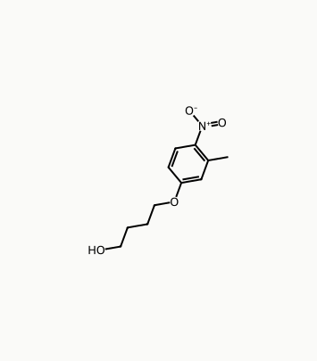 Cc1cc(OCCCCO)ccc1[N+](=O)[O-]